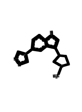 CN1CCC(c2c[nH]c3ccc(-n4cnnc4)cc23)C1